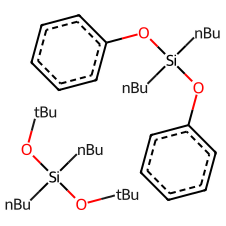 CCCC[Si](CCCC)(OC(C)(C)C)OC(C)(C)C.CCCC[Si](CCCC)(Oc1ccccc1)Oc1ccccc1